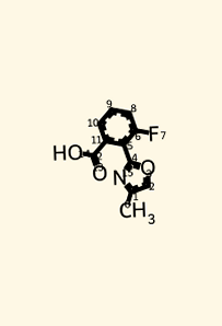 Cc1coc(-c2c(F)cccc2C(=O)O)n1